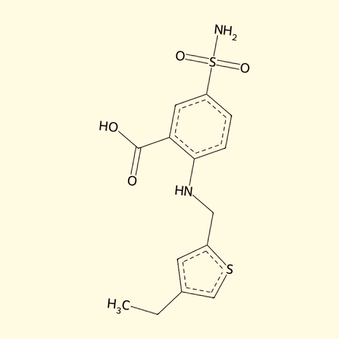 CCc1csc(CNc2ccc(S(N)(=O)=O)cc2C(=O)O)c1